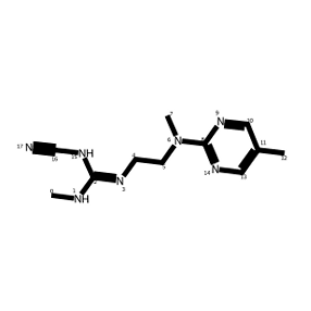 CNC(=NCCN(C)c1ncc(C)cn1)NC#N